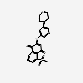 CS(=O)(=O)c1cccc2c1C(=O)C=C(Nc1cncc(C3CCSCC3)c1)C2=O